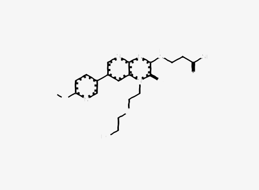 CCCOCCn1c(=O)c(NCCC(N)=O)nc2ncc(-c3ccc(OC)nc3)cc21